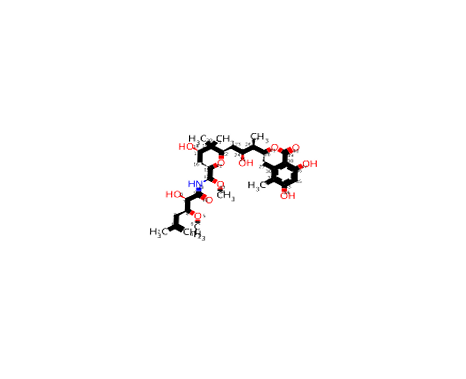 C=C(C)C[C@H](OC)[C@H](O)C(=O)N[C@@H](OC)[C@@H]1C[C@H](O)C(C)(C)[C@@H](C[C@H](O)[C@@H](C)[C@H]2Cc3c(C)c(O)cc(O)c3C(=O)O2)O1